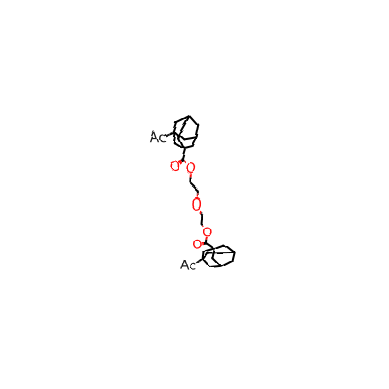 CC(=O)C12CC3CC(C1)CC(C(=O)OCCOCCOC(=O)C14CC5CC(CC(C(C)=O)(C5)C1)C4)(C3)C2